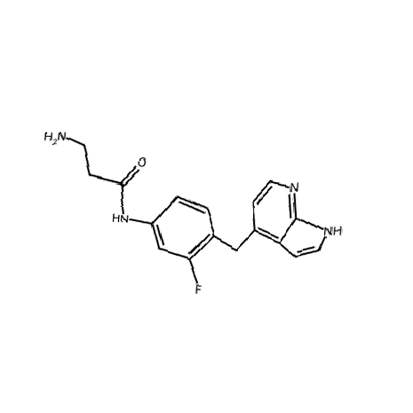 NCCC(=O)Nc1ccc(Cc2ccnc3[nH]ccc23)c(F)c1